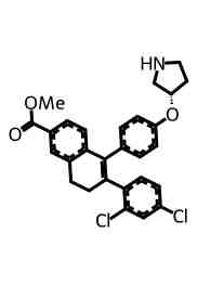 COC(=O)c1ccc2c(c1)CCC(c1ccc(Cl)cc1Cl)=C2c1ccc(O[C@H]2CCNC2)cc1